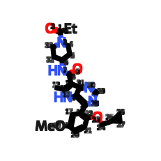 CCC(=O)N1CCC(NC(=O)c2c(C)[nH]c3c(-c4cc(OC)ccc4OCC4CC4)ncnc23)CC1